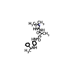 CO/C(C)=C\C(=N)NC(=O)C(C)SCC(=O)Nc1ccc(NC(C)c2ccccc2)cc1